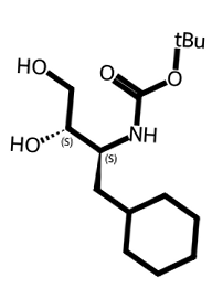 CC(C)(C)OC(=O)N[C@@H](CC1CCCCC1)[C@H](O)CO